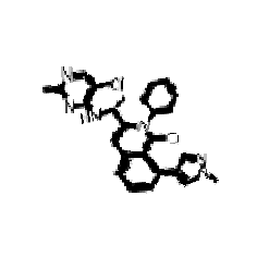 Cc1ncc(Cl)c(N[C@@H](C)c2cc3cccc(-c4cnn(C)c4)c3c(=O)n2-c2ccccc2)n1